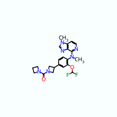 CN(c1ccc(C2CN(C(=O)N3CCC3)C2)cc1OC(F)F)c1nccc2c1ncn2C